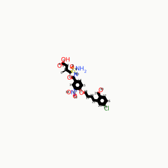 C[C@@H](CC(=O)O)CS(N)(=O)=NC(=O)c1ccc(OCCCCc2cc(Cl)ccc2C=O)c([N+](=O)[O-])c1